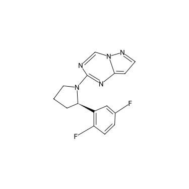 Fc1ccc(F)c([C@H]2CCCN2c2ncn3nccc3n2)c1